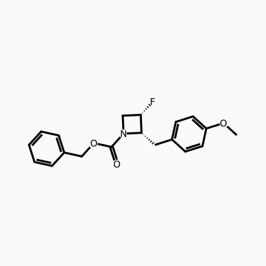 COc1ccc(C[C@H]2[C@@H](F)CN2C(=O)OCc2ccccc2)cc1